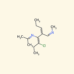 CC/C=C(/C=N\C)C(\N=C(C)C)=C(/Cl)CC